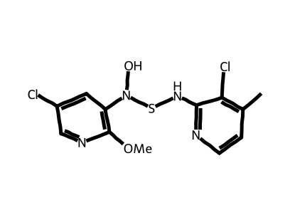 COc1ncc(Cl)cc1N(O)SNc1nccc(C)c1Cl